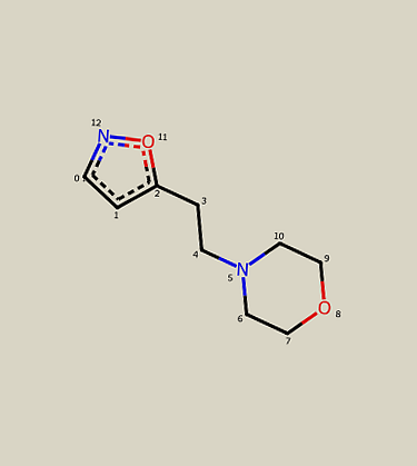 [c]1cc(CCN2CCOCC2)on1